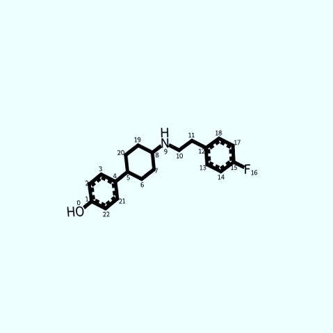 Oc1ccc(C2CCC(NCCc3ccc(F)cc3)CC2)cc1